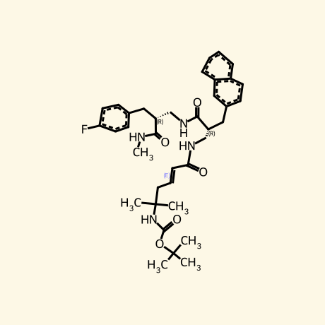 CNC(=O)[C@@H](CNC(=O)[C@@H](CNC(=O)/C=C/CC(C)(C)NC(=O)OC(C)(C)C)Cc1ccc2ccccc2c1)Cc1ccc(F)cc1